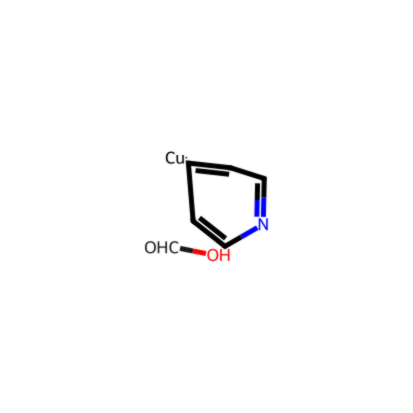 O=CO.[Cu].c1ccncc1